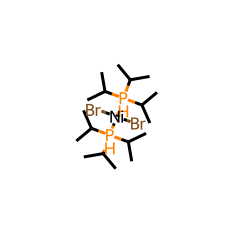 CC(C)[PH](C(C)C)(C(C)C)[Ni]([Br])([Br])[PH](C(C)C)(C(C)C)C(C)C